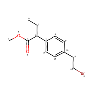 CCC(C(=O)OC)c1ccc(CCBr)cc1